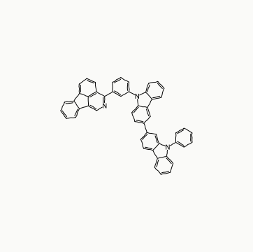 c1ccc(-n2c3ccccc3c3ccc(-c4ccc5c(c4)c4ccccc4n5-c4cccc(-c5ncc6c7c(cccc57)-c5ccccc5-6)c4)cc32)cc1